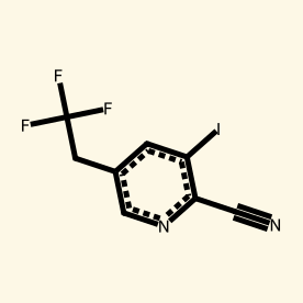 N#Cc1ncc(CC(F)(F)F)cc1I